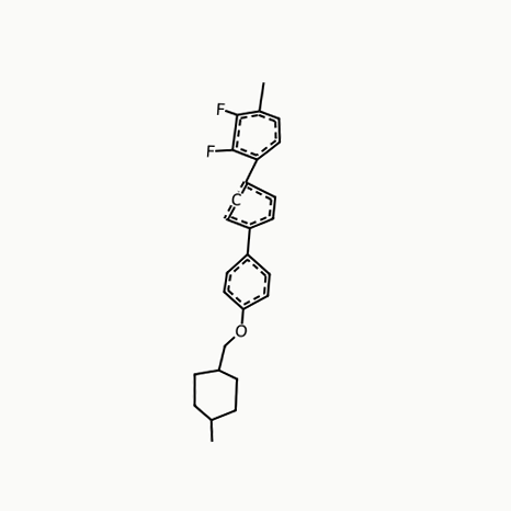 Cc1ccc(-c2ccc(-c3ccc(OCC4CCC(C)CC4)cc3)cc2)c(F)c1F